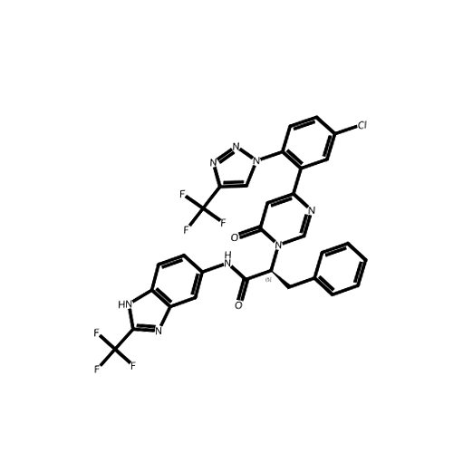 O=C(Nc1ccc2[nH]c(C(F)(F)F)nc2c1)[C@H](Cc1ccccc1)n1cnc(-c2cc(Cl)ccc2-n2cc(C(F)(F)F)nn2)cc1=O